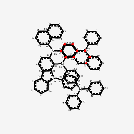 c1ccc(N(c2ccccc2)c2ccc(N(c3ccc4c5ccccc5n(-c5ccccc5)c4c3N(c3ccc(N(c4ccccc4)c4ccccc4)cc3)c3cccc4ccccc34)c3cccc4ccccc34)cc2)cc1